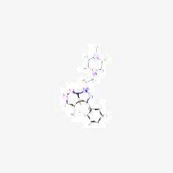 CCc1cnnc2c1c(-c1ccccc1)nn2CCN1CCN(C)CC1